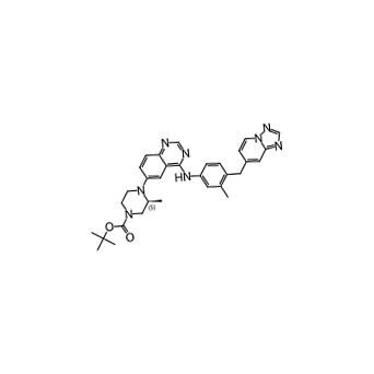 Cc1cc(Nc2ncnc3ccc(N4CCN(C(=O)OC(C)(C)C)C[C@@H]4C)cc23)ccc1Cc1ccn2ncnc2c1